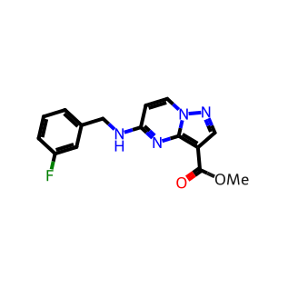 COC(=O)c1cnn2ccc(NCc3cccc(F)c3)nc12